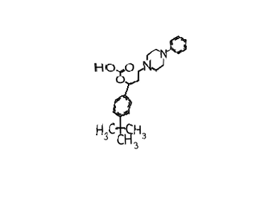 CC(C)(C)c1ccc(C(CCN2CCN(c3ccccc3)CC2)OC(=O)O)cc1